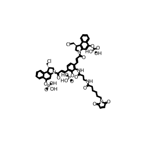 O=C(CCCCCN1C(=O)C=CC1=O)NCCC(=O)Nc1c(/C=C/C(=O)N2C[C@@H](CCl)c3c2cc(OP(=O)(O)O)c2ccccc32)ccc(/C=C/C(=O)N2C[C@@H](CCl)c3c2cc(OP(=O)(O)O)c2ccccc32)c1OP(=O)(O)O